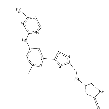 Cc1cc(Nc2nccc(C(F)(F)F)n2)cc(-c2cnc(CNC3CNC(=O)C3)s2)c1